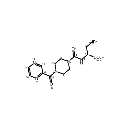 CC(C)C[C@H](NC(=O)N1CCN(C(=O)c2cnccn2)CC1)C(=O)O